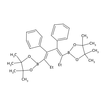 CCC(B1OC(C)(C)C(C)(C)O1)=C(C(=C(CC)B1OC(C)(C)C(C)(C)O1)c1ccccc1)c1ccccc1